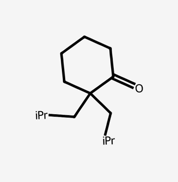 CC(C)CC1(CC(C)C)CCCCC1=O